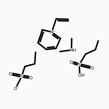 C=C[n+]1ccccc1.CNC.[CH2]CCS(=O)(=O)O.[CH2]CCS(=O)(=O)[O-]